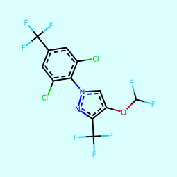 FC(F)Oc1cn(-c2c(Cl)cc(C(F)(F)F)cc2Cl)nc1C(F)(F)F